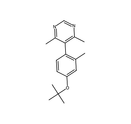 Cc1cc(OC(C)(C)C)ccc1-c1c(C)ncnc1C